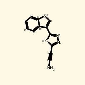 NC#Cc1nnc(-c2csc3ccccc23)o1